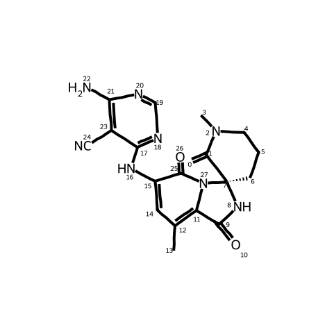 C=C1N(C)CCC[C@@]12NC(=O)c1c(C)cc(Nc3ncnc(N)c3C#N)c(=O)n12